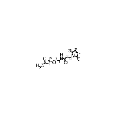 CC(=O)CC(I)OCCNC(=O)CCN1C(=O)C=CC1=O